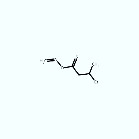 C=NOC(=S)CC(C)CC